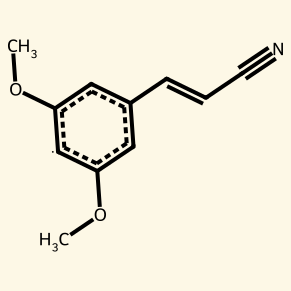 COc1[c]c(OC)cc(/C=C/C#N)c1